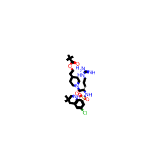 CC1(C)CNc2c(cc(Cl)cc2S(=O)(=O)N[C@@H](CCCNC(=N)N)C(=O)N2CCC(CCOC(=O)C(C)(C)C)CC2)C1